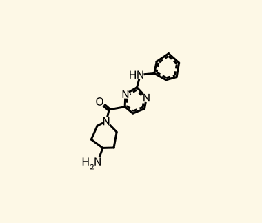 NC1CCN(C(=O)c2ccnc(Nc3ccccc3)n2)CC1